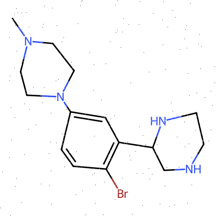 CN1CCN(c2ccc(Br)c(C3CNCCN3)c2)CC1